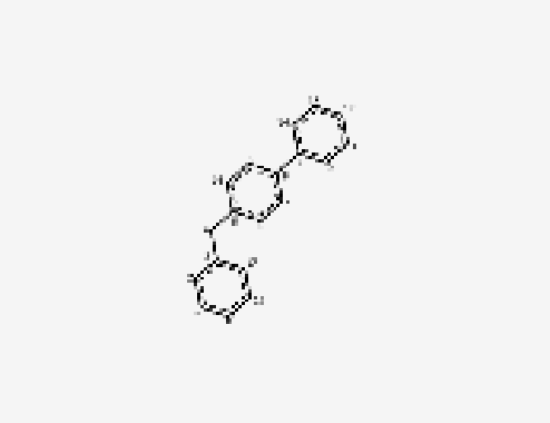 [c]1ccc(Cc2ccc(-c3ccccc3)cc2)cc1